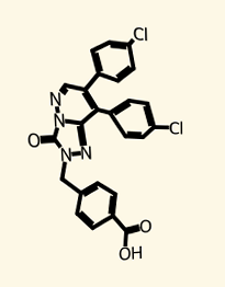 O=C(O)c1ccc(Cn2nc3c(-c4ccc(Cl)cc4)c(-c4ccc(Cl)cc4)cnn3c2=O)cc1